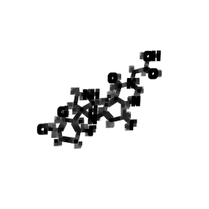 O=C(O)Cn1cnc2c(F)cc(NC3(c4c(F)ccc(Cl)c4Cl)CCNC3)cc2c1=O